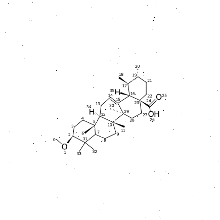 CO[C@H]1CC[C@@]2(C)C(CC[C@]3(C)[C@@H]2CC=C2[C@@H]4[C@@H](C)[C@H](C)CC[C@]4(C(=O)O)CC[C@]23C)C1(C)C